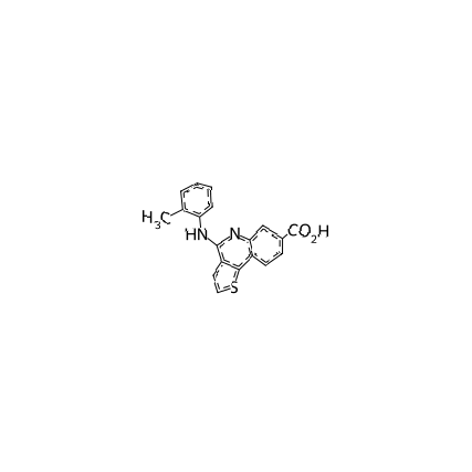 Cc1ccccc1Nc1nc2cc(C(=O)O)ccc2c2sccc12